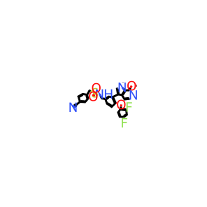 COc1nccc2c(-c3cc(CNS(=O)(=O)Cc4ccc(C#N)cc4)ccc3Oc3ccc(F)cc3F)cn(C)c12